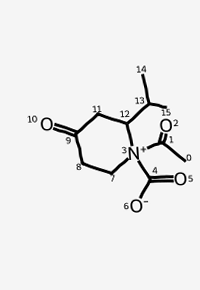 CC(=O)[N+]1(C(=O)[O-])CCC(=O)CC1C(C)C